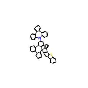 c1ccc2c(c1)-c1ccccc1N(c1ccc3c(c1)-c1ccccc1-c1ccccc1C31c3ccccc3-c3c1ccc1c3sc3ccccc31)c1ccccc1-2